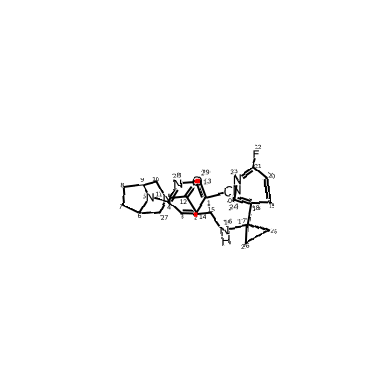 N#Cc1ccc(N2C3CCC2CN(C(=O)CCNC2(c4ccc(F)nc4)CC2)C3)nc1